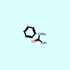 CCCC(=O)OC.c1ccccc1